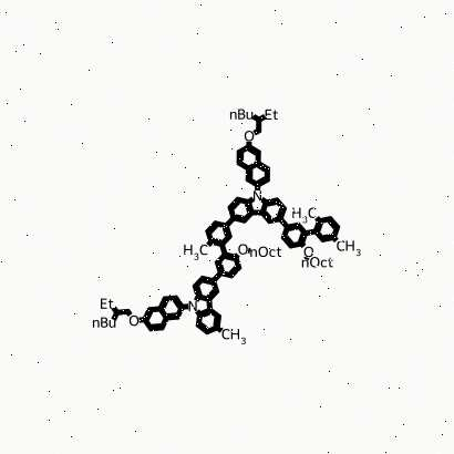 CCCCCCCCOc1ccc(-c2ccc3c(c2)c2cc(-c4ccc(C)c(-c5cc(-c6ccc7c(c6)c6cc(C)ccc6n7-c6ccc7cc(OCC(CC)CCCC)ccc7c6)ccc5OCCCCCCCC)c4)ccc2n3-c2ccc3cc(OCC(CC)CCCC)ccc3c2)cc1-c1cc(C)ccc1C